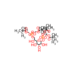 CC(C)(C)C(=O)OCOP(=O)(OCOC(=O)C(C)(C)C)OC[C@@H](O)[C@H]1O[C@@H](OP(=O)(OCOC(=O)C(C)(C)C)OCOC(=O)C(C)(C)C)[C@@H](O)[C@@H](O)[C@@H]1O